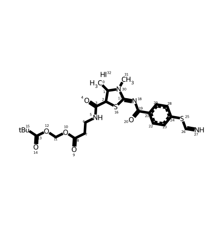 CC1C(C(=O)NCCC(=O)OCOC(=O)C(C)(C)C)SC(=NC(=O)c2ccc(SC=N)cc2)N1C.I